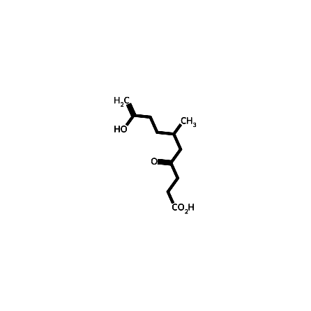 C=C(O)CCC(C)CC(=O)CCC(=O)O